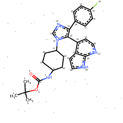 CC(C)(C)OC(=O)NC1CCC(n2cnc(-c3ccc(F)cc3)c2-c2ccnc3[nH]ccc23)CC1